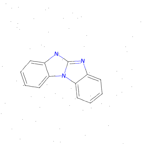 [c]1ccc2c(c1)-n1c(nc3ccccc31)[N]2